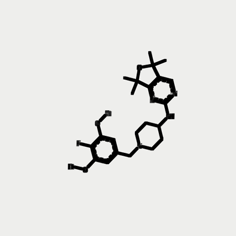 CCOc1cc(CN2CCC(Nc3ncc4c(n3)C(C)(C)OC4(C)C)CC2)cc(OCC)c1F